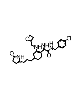 N=C(C(=O)NCc1ccc(Cl)cc1)C1=C(NCC2CCO2)CC(CCC[C@H]2CCC(=O)N2)CC1